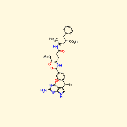 CCC(c1ccc(C(=O)N[C@@H](CCC(=O)N[C@@H](CC(Cc2ccccc2)C(=O)O)C(=O)O)C(=O)OC)cc1)c1c[nH]c2nc(N)nc(O)c12